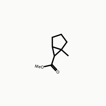 COC(=O)C1C2CCCC21C